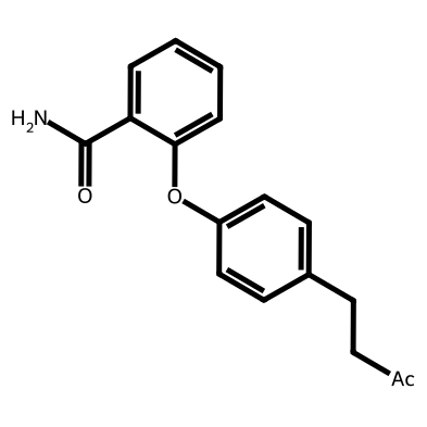 CC(=O)CCc1ccc(Oc2ccccc2C(N)=O)cc1